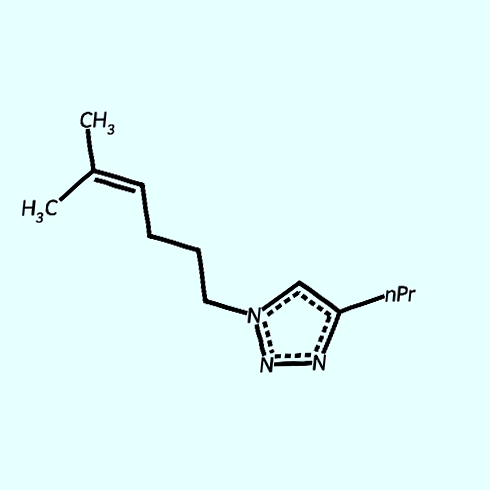 CCCc1cn(CCCC=C(C)C)nn1